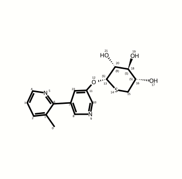 Cc1cccnc1-c1cncc(O[C@H]2SC[C@@H](O)[C@H](O)[C@H]2O)c1